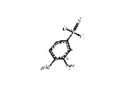 COc1ccc(P(=O)(Cl)Cl)cc1OC